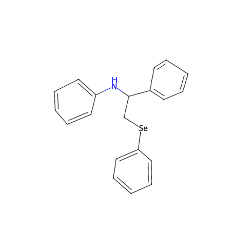 c1ccc(NC(C[Se]c2ccccc2)c2ccccc2)cc1